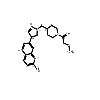 COCC(=O)N1CCC(CN2CC(c3cnc4ccc(Cl)nc4c3)C=N2)CC1